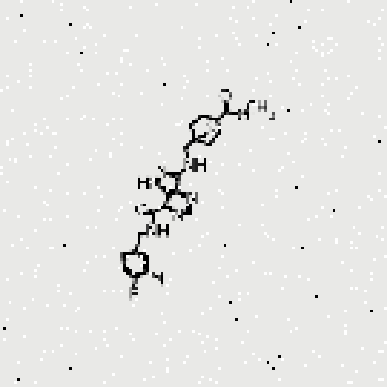 COC(=O)C12CCC(CNc3n[nH]c4c(C(=O)NCc5ccc(F)c(I)c5)ncnc34)(CC1)CC2